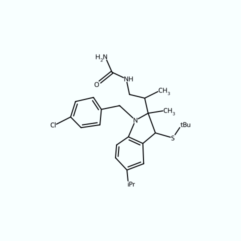 CC(C)c1ccc2c(c1)C(SC(C)(C)C)C(C)(C(C)CNC(N)=O)N2Cc1ccc(Cl)cc1